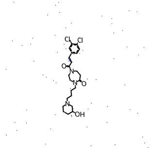 O=C(/C=C/c1ccc(Cl)c(Cl)c1)N1CCC(=O)N(CCCCN2CCCC(O)C2)CC1